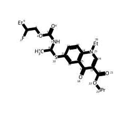 CCC(F)COC(=O)NC(C)Sc1ccc2c(c1)c(=O)c(C(=O)OC(C)C)cn2CC